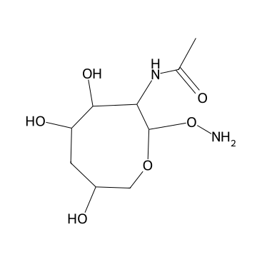 CC(=O)NC1C(ON)OCC(O)CC(O)C1O